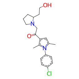 Cc1cc(C(=O)CN2CCCC2CCO)c(C)n1-c1ccc(Cl)cc1